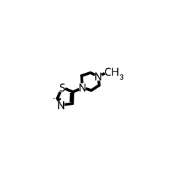 CN1CCN(c2cn[c]s2)CC1